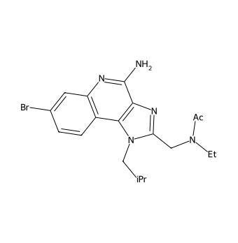 CCN(Cc1nc2c(N)nc3cc(Br)ccc3c2n1CC(C)C)C(C)=O